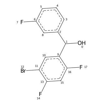 OC(c1cccc(F)c1)c1cc(Br)c(F)cc1F